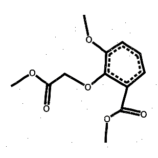 COC(=O)COc1c(OC)cccc1C(=O)OC